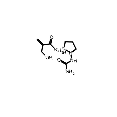 C=C(CO)C(N)=O.NC(=O)NN1CCCN1